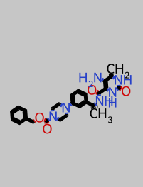 C=C1NC(=O)NC(C(=O)N[C@@H](C)c2cccc(N3CCN(C(=O)OCc4ccccc4)CC3)c2)=C1N